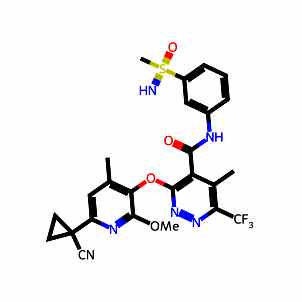 COc1nc(C2(C#N)CC2)cc(C)c1Oc1nnc(C(F)(F)F)c(C)c1C(=O)Nc1cccc(S(C)(=N)=O)c1